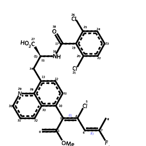 C=C(OC)/C(=C(Cl)\C=C(/C)F)c1ccc(C[C@H](NC(=O)c2c(Cl)cccc2Cl)C(=O)O)c2ncccc12